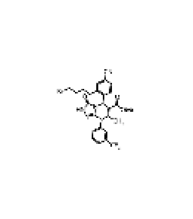 COC(=O)C1=C(C)N(c2cccc(C(F)(F)F)c2)c2n[nH]c(=O)n2C1c1ccc(C#N)cc1CCCCBr